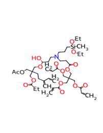 C=CC(=C)CCC(COC(C)=O)(COC(=O)CC)COC(O)CCN(CCC[Si](C)(OCC)OCC)CCC(=O)OCC(COC(=O)C=C)(COC(=O)C=C)COC(=O)C=C